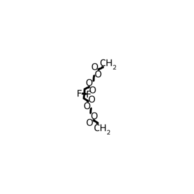 C=CC(=O)OCCOC(=O)CC(F)(F)CC(=O)OCCOC(=O)C=C